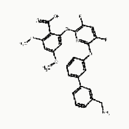 COc1cc(OC)c(C(=O)O)c(Oc2nc(Oc3cccc(-c4cccc(CN)c4)c3)c(F)cc2F)c1